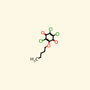 CCCCCOC1=C(Cl)C(=O)C(Cl)=C(Cl)C1=O